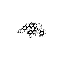 CN(C)Cc1ccc(-c2cnc(N)c(-c3nn(Cc4ccccc4)cc3-c3cccc(Cl)c3Cl)c2)cc1